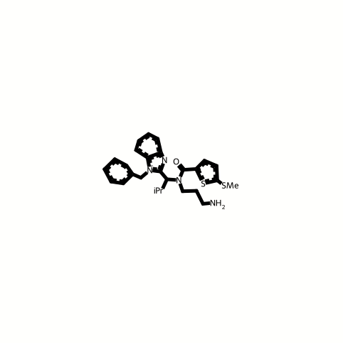 CSc1ccc(C(=O)N(CCCN)C(c2nc3ccccc3n2Cc2ccccc2)C(C)C)s1